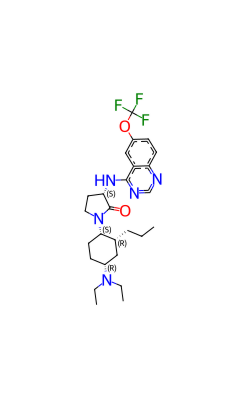 CCC[C@@H]1C[C@H](N(CC)CC)CC[C@@H]1N1CC[C@H](Nc2ncnc3ccc(OC(F)(F)F)cc23)C1=O